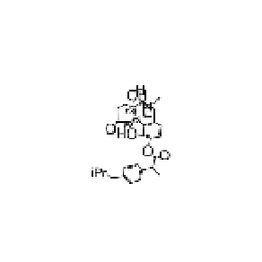 CC(C)Cc1ccc(C(C)C(=O)Oc2ccc3c4c2O[C@H]2C(=O)CC[C@@]5(O)[C@@H](C3)N(C)CC[C@]425)cc1